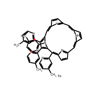 Cc1ccnc(-c2c(-c3cc(C)ccn3)c3c(-c4cc(C)ccn4)c4nc(cc5ccc(cc6nc(cc2n3-c2cc(C)ccn2)C=C6)[nH]5)C=C4)c1.[Fe]